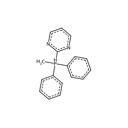 C[PH](c1ccccc1)(c1ccccc1)c1ncccn1